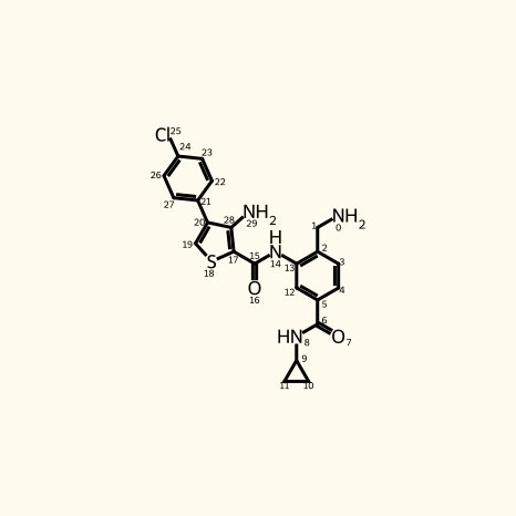 NCc1ccc(C(=O)NC2CC2)cc1NC(=O)c1scc(-c2ccc(Cl)cc2)c1N